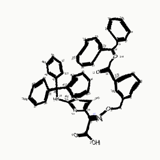 O=C(O)/C(=N/OCc1cccc(C(=O)OC(c2ccccc2)c2ccccc2)c1)c1csc(NC(c2ccccc2)(c2ccccc2)c2ccccc2)n1